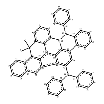 CC1(C)c2cccc3c2-n2c4c1c1ccccc1cc4c1c(N(c4ccccc4)c4ccccc4)cc4c(c12)B3N(c1ccccc1)c1ccccc1-4